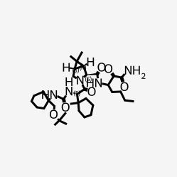 CCCCC(NC(=O)[C@@H]1[C@@H]2[C@H](CN1C(=O)[C@@H](NC(=O)NC1(COC(C)(C)C)CCCCC1)C1(C)CCCCC1)C2(C)C)C(=O)C(N)=O